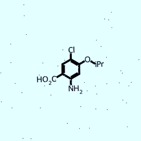 CC(C)Oc1cc(N)c(C(=O)O)cc1Cl